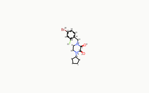 O=C1C(=O)N(C2CCCC2)CCN1Cc1ccc(Br)cc1F